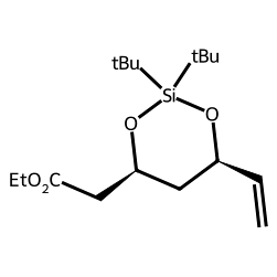 C=C[C@H]1C[C@@H](CC(=O)OCC)O[Si](C(C)(C)C)(C(C)(C)C)O1